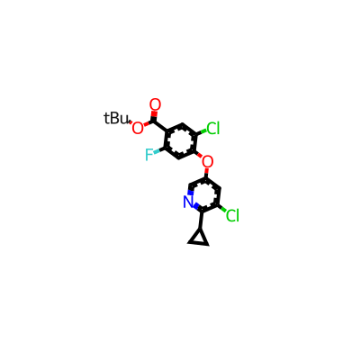 CC(C)(C)OC(=O)c1cc(Cl)c(Oc2cnc(C3CC3)c(Cl)c2)cc1F